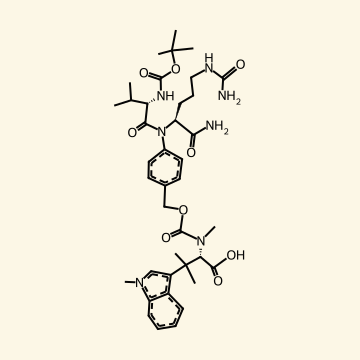 CC(C)[C@H](NC(=O)OC(C)(C)C)C(=O)N(c1ccc(COC(=O)N(C)[C@H](C(=O)O)C(C)(C)c2cn(C)c3ccccc23)cc1)[C@@H](CCCNC(N)=O)C(N)=O